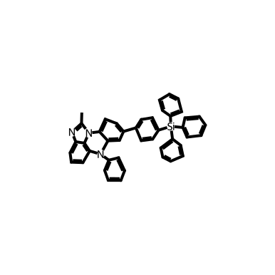 Cc1nc2cccc3c2n1-c1ccc(-c2ccc([Si](c4ccccc4)(c4ccccc4)c4ccccc4)cc2)cc1N3c1ccccc1